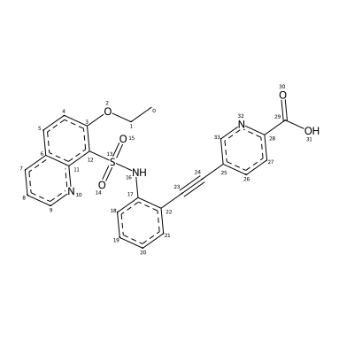 CCOc1ccc2cccnc2c1S(=O)(=O)Nc1ccccc1C#Cc1ccc(C(=O)O)nc1